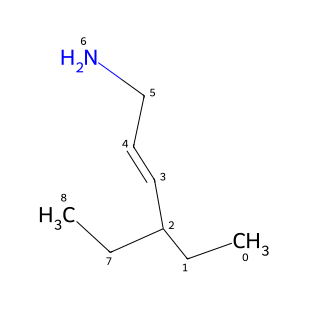 CCC(C=CCN)CC